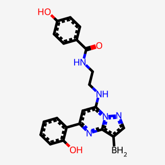 Bc1cnn2c(NCCNC(=O)c3ccc(O)cc3)cc(-c3ccccc3O)nc12